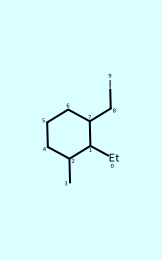 CCC1C(C)CCCC1CI